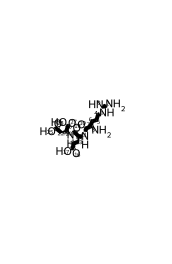 N=C(N)NCCC[C@H](N)C(=O)N[C@@H](CCC(=O)O)C(=O)N[C@@H](CC(=O)O)C(=O)O